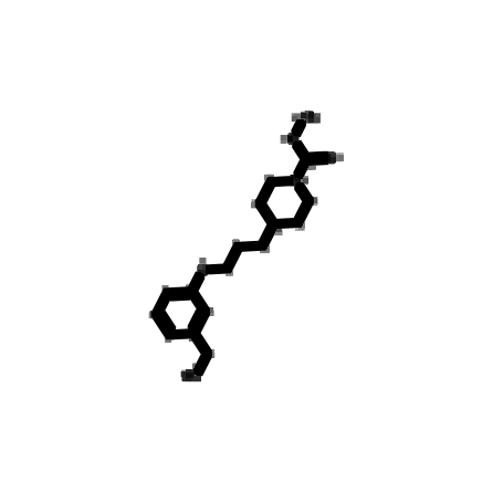 CC(C)(C)Cc1cccc(OCCCC2CCN(C(=O)OC(C)(C)C)CC2)c1